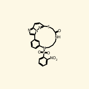 O=C1CSc2ccc3ncc(n3n2)-c2cccc(c2)N(S(=O)(=O)c2ccccc2[N+](=O)[O-])CCCN1